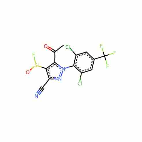 CC(=O)c1c([S+]([O-])F)c(C#N)nn1-c1c(Cl)cc(C(F)(F)F)cc1Cl